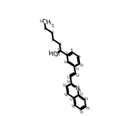 CCCCCC(O)c1cccc(C=Cc2ccc3ccccc3n2)c1